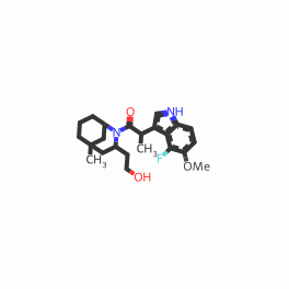 COc1ccc2[nH]cc(C(C)C(=O)N3C(CCO)CC4(C)CCCC3C4)c2c1F